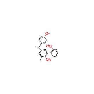 COc1ccc(C(C)c2cc(C)c(O)c(-c3ccccc3O)c2)cc1